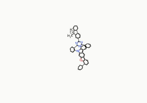 C[Si]1(C)c2ccccc2-c2ccc(-c3nc(-c4ccccc4)nc(-c4ccccc4-n4c5ccccc5c5cc6c(cc54)oc4c(-c5ccccc5)cccc46)n3)cc21